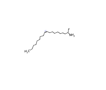 CCCCCCCC/C=C\CCCCCCCC(N)F